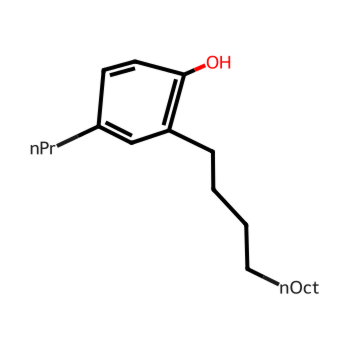 CCCCCCCCCCCCc1cc(CCC)ccc1O